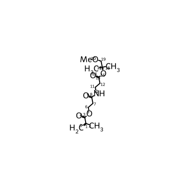 C=C(C)C(=O)OCCC(=O)NCCC(=O)OC(C)(C)COC